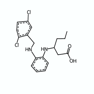 CCCC(CC(=O)O)Nc1ccccc1NCc1cc(Cl)ccc1Cl